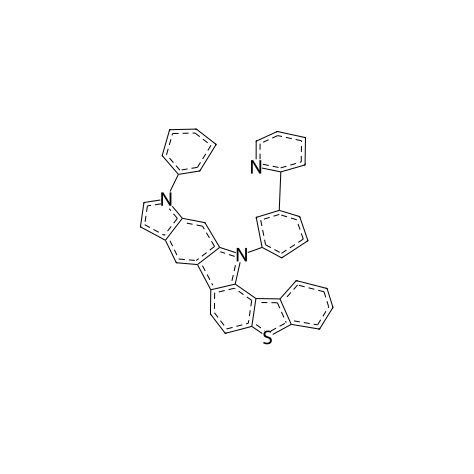 c1ccc(-n2ccc3cc4c5ccc6sc7ccccc7c6c5n(-c5cccc(-c6ccccn6)c5)c4cc32)cc1